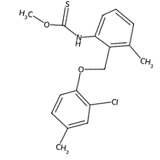 COC(=S)Nc1cccc(C)c1COc1ccc(C)cc1Cl